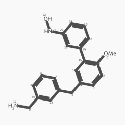 COc1ccc(Cc2cccc(CN)c2)cc1-c1cccc(NO)c1